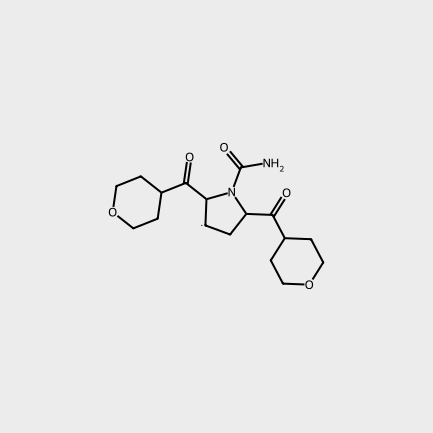 NC(=O)N1C(C(=O)C2CCOCC2)[CH]CC1C(=O)C1CCOCC1